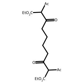 CCOC(=O)C(C(C)=O)C(=O)CCCCC(=O)C(C(C)=O)C(=O)OCC